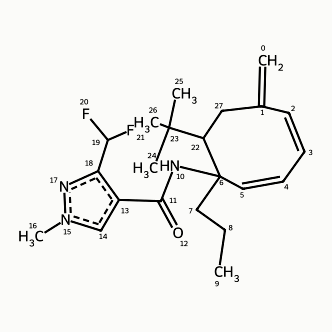 C=C1/C=C\C=C/C(CCC)(NC(=O)c2cn(C)nc2C(F)F)C(C(C)(C)C)C1